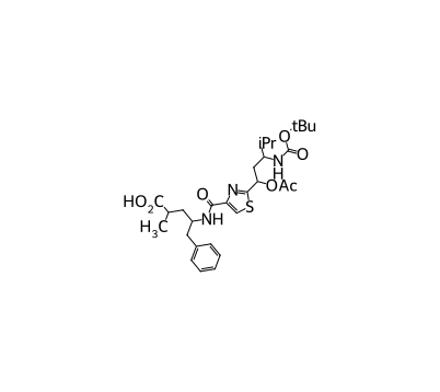 CC(=O)OC(CC(NC(=O)OC(C)(C)C)C(C)C)c1nc(C(=O)NC(Cc2ccccc2)CC(C)C(=O)O)cs1